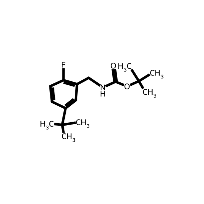 CC(C)(C)OC(=O)NCc1cc(C(C)(C)C)ccc1F